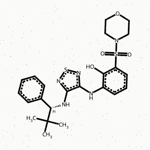 CC(C)(C)[C@@H](Nc1nsnc1Nc1cccc(S(=O)(=O)N2CCOCC2)c1O)c1ccccc1